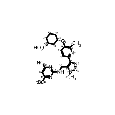 Cc1nc(-c2nnn(C)c2CNc2nc(C#N)cc(C(C)(C)C)n2)ccc1O[C@H]1CCC[C@H](C(=O)O)C1